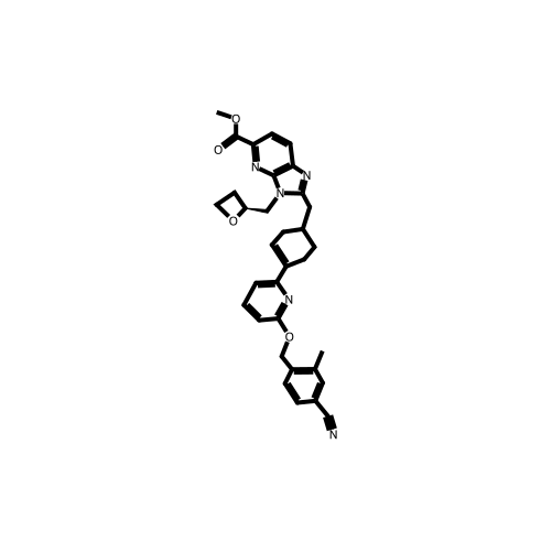 COC(=O)c1ccc2nc(CC3CC=C(c4cccc(OCc5ccc(C#N)cc5C)n4)CC3)n(C[C@@H]3CCO3)c2n1